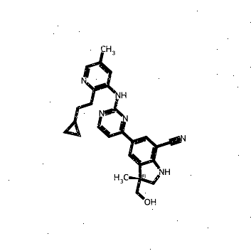 Cc1cnc(CCC2CC2)c(Nc2nccc(-c3cc(C#N)c4c(c3)[C@@](C)(CO)CN4)n2)c1